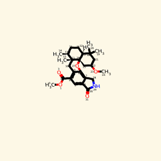 COC(=O)c1cc2c(c3c1C[C@]1(C)[C@@H](C)CC[C@H]4C(C)(C)CC(OC)C[C@]41O3)CNC2=O